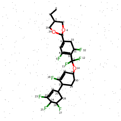 CCC1COC(C2=CC(F)=C(C(F)(F)OC3C=C(F)C(C4C=C(F)C(F)C(F)C4)CC3)C(F)C2)OC1